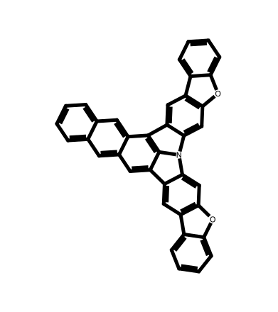 c1ccc2cc3c(cc2c1)cc1c2cc4c(cc2n2c5cc6oc7ccccc7c6cc5c3c12)oc1ccccc14